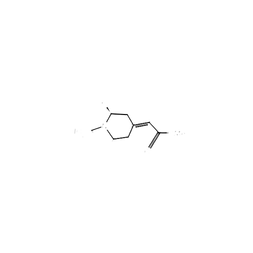 COC(=O)C=C1CCN(C(=O)O)[C@@H](C)C1